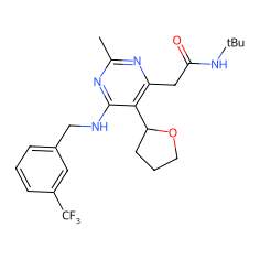 Cc1nc(CC(=O)NC(C)(C)C)c(C2CCCO2)c(NCc2cccc(C(F)(F)F)c2)n1